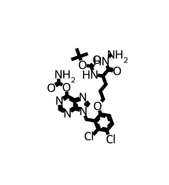 CC(C)(C)OC(=O)NC(CCCOc1ccc(Cl)c(Cl)c1Cn1cnc2c(OC(N)=O)ncnc21)C(=O)NN